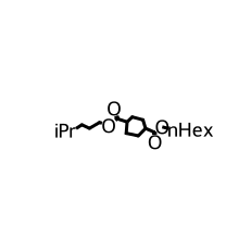 CCCCCCOC(=O)C1CCC(C(=O)OCCCC(C)C)CC1